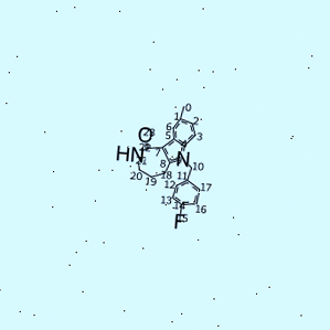 Cc1ccc2c(c1)c1c(n2Cc2ccc(F)cc2)CCCNC1=O